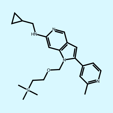 Cc1cc(-c2cc3cnc(NCC4CC4)cc3n2COCC[Si](C)(C)C)ccn1